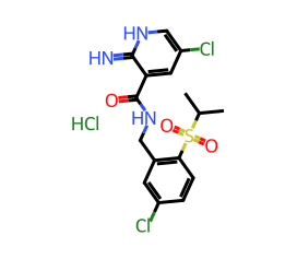 CC(C)S(=O)(=O)c1ccc(Cl)cc1CNC(=O)c1cc(Cl)c[nH]c1=N.Cl